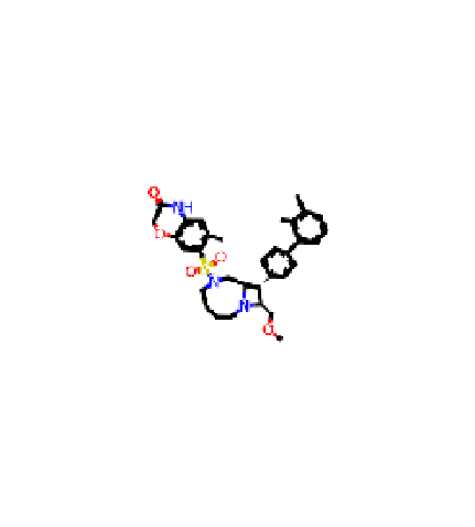 COC[C@@H]1[C@@H](c2ccc(-c3cccc(C)c3C)cc2)C2CN(S(=O)(=O)c3cc4c(cc3C)NC(=O)CO4)CCCCN21